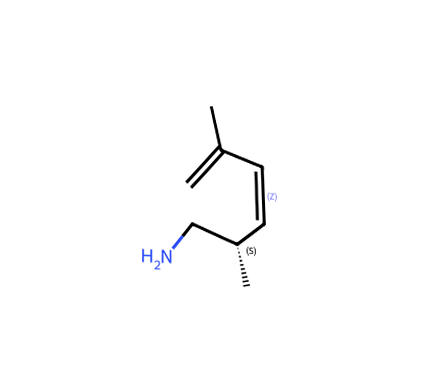 C=C(C)/C=C\[C@H](C)CN